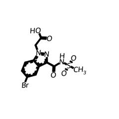 CS(=O)(=O)NC(=O)c1nn(CC(=O)O)c2ccc(Br)cc12